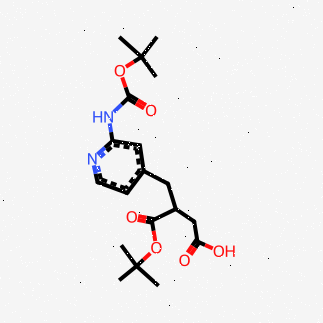 CC(C)(C)OC(=O)Nc1cc(CC(CC(=O)O)C(=O)OC(C)(C)C)ccn1